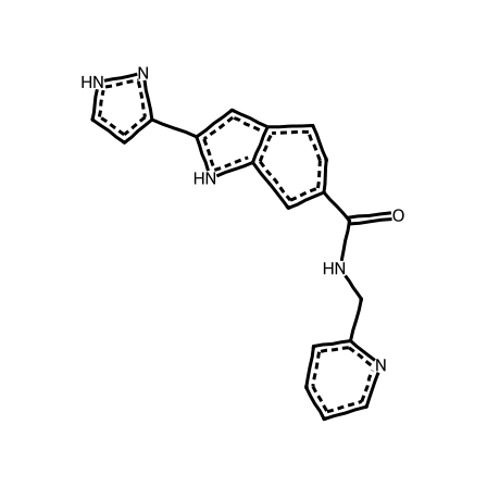 O=C(NCc1ccccn1)c1ccc2cc(-c3cc[nH]n3)[nH]c2c1